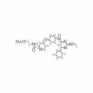 COCCNC(=O)c1cc(Oc2ccc(Nc3cc(-c4ccccc4)nc(N)n3)cc2)ccn1